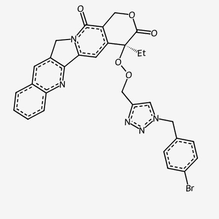 CC[C@@]1(OOCc2cn(Cc3ccc(Br)cc3)nn2)C(=O)OCc2c1cc1n(c2=O)Cc2cc3ccccc3nc2-1